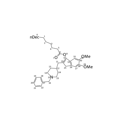 CCCCCCCCCCCCCCCC(=O)OC1=C(CC2CCN(Cc3ccccc3)CC2)Cc2cc(OC)c(OC)cc21